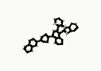 C1=Cc2nc3c4c5ccccc5c(-c5ccc(-c6ccc7ccccc7c6)cc5)cc4c4ncccc4n3c2CC1